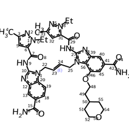 CCn1nc(C)cc1C(=O)Nc1nc2cc(C(N)=O)ccc2n1C/C=C/Cn1c(NC(=O)c2cc(C)nn2CC)nc2cc(C(N)=O)cc(OCCC3CCOCC3)c21